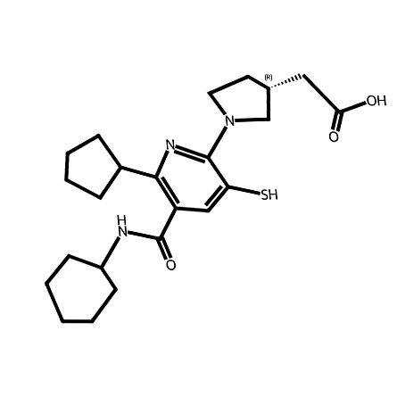 O=C(O)C[C@H]1CCN(c2nc(C3CCCC3)c(C(=O)NC3CCCCC3)cc2S)C1